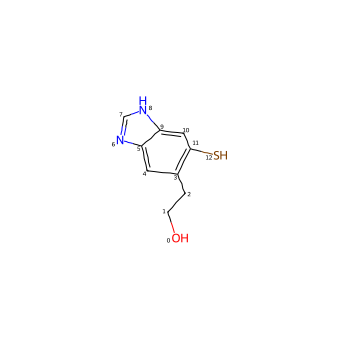 OCCc1cc2nc[nH]c2cc1S